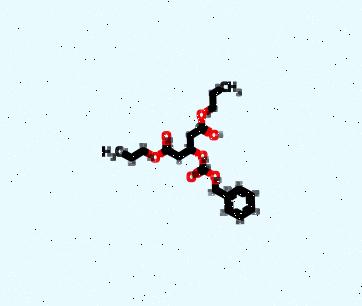 CCCOC(=O)CC(CC(=O)OCCC)OC(=O)OCc1ccccc1